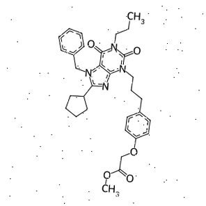 CCCn1c(=O)c2c(nc(C3CCCC3)n2Cc2ccccc2)n(CCCc2ccc(OCC(=O)OC)cc2)c1=O